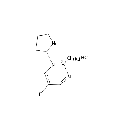 Cl.Cl.FC1=CN(C2CCCN2)[C@H](Cl)N=C1